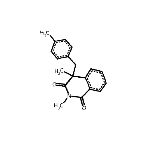 Cc1ccc(CC2(C)C(=O)N(C)C(=O)c3ccccc32)cc1